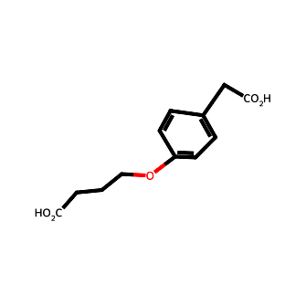 O=C(O)CCCOc1ccc(CC(=O)O)cc1